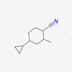 CC1CC(C2CC2)CCC1C#N